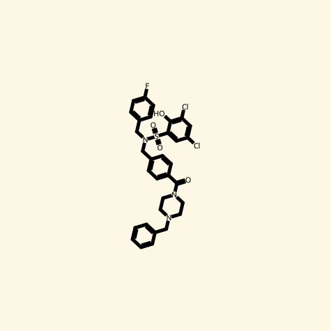 O=C(c1ccc(CN(Cc2ccc(F)cc2)S(=O)(=O)c2cc(Cl)cc(Cl)c2O)cc1)N1CCN(Cc2ccccc2)CC1